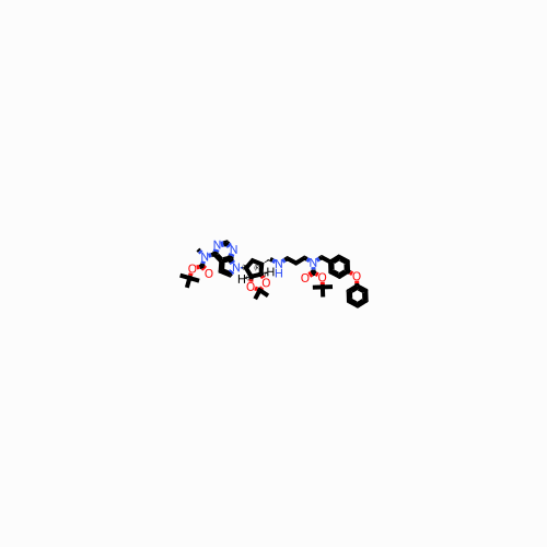 CN(C(=O)OC(C)(C)C)c1ncnc2c1ccn2[C@@H]1C[C@H](CNCCCN(Cc2ccc(Oc3ccccc3)cc2)C(=O)OC(C)(C)C)[C@H]2OC(C)(C)O[C@H]21